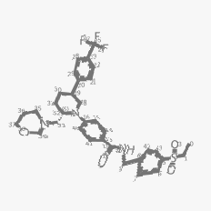 CCS(=O)(=O)c1ccc(CNC(=O)c2ccc(N3CC(c4ccc(C(F)(F)F)cc4)CC[C@H]3CN3CCCOC3)cc2)cc1